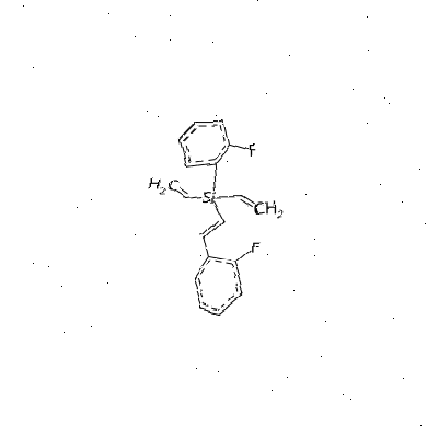 C=C[Si](C=C)(C=Cc1ccccc1F)c1ccccc1F